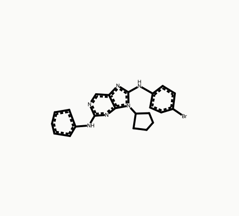 Brc1ccc(Nc2nc3cnc(Nc4ccccc4)nc3n2C2CCCC2)cc1